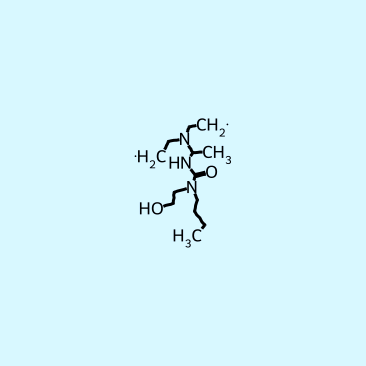 [CH2]CN(C[CH2])C(C)NC(=O)N(CCO)CCCC